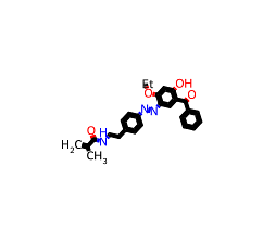 C=C(C)C(=O)NCCc1ccc(N=Nc2cc(C(=O)c3ccccc3)c(O)cc2OCC)cc1